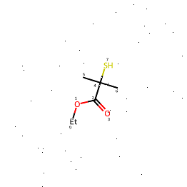 CCOC(=O)C(C)(C)S